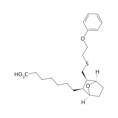 O=C(O)CCCCCC[C@H]1[C@@H](CSCCOc2ccccc2)[C@H]2CC[C@@H]1O2